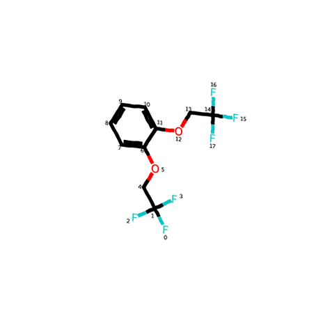 FC(F)(F)COc1ccccc1OCC(F)(F)F